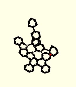 c1ccc(-c2ccc(-c3cc(-c4ccccc4)nc(-n4c5c(c6ccccc6c6c7ccccc7c7ccccc7c65)c5ccc6c7ccccc7n(-c7ccccc7)c6c54)n3)cc2)cc1